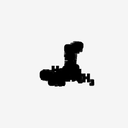 Cc1ccc2c(n1)Oc1nc(-c3ccc(C(=O)N4CCOCC4)cc3)ccc1C2C(C)(C)C(=O)Nc1nnc(C(=O)NC2CCOCC2)s1